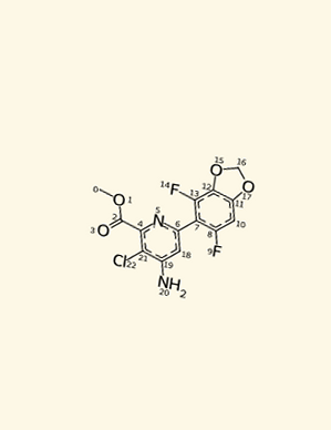 COC(=O)c1nc(-c2c(F)cc3c(c2F)OCO3)cc(N)c1Cl